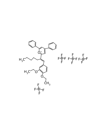 CCCCCC(=Cc1ccc(OCC)c(OCC)c1)c1cc(-c2ccccc2)cc(-c2ccccc2)[o+]1.F[B-](F)(F)F.F[B-](F)(F)F.F[B-](F)(F)F.F[B-](F)(F)F